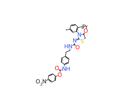 Cc1ccc(C(C)C)c(N2C(=O)CS/C2=N\C(=O)NCCc2ccc(NC(=O)Oc3ccc([N+](=O)[O-])cc3)cc2)c1